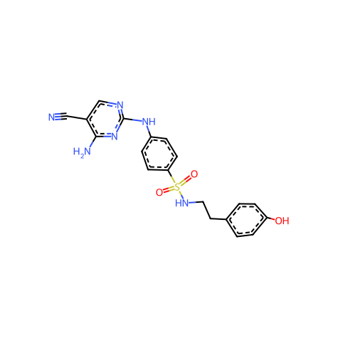 N#Cc1cnc(Nc2ccc(S(=O)(=O)NCCc3ccc(O)cc3)cc2)nc1N